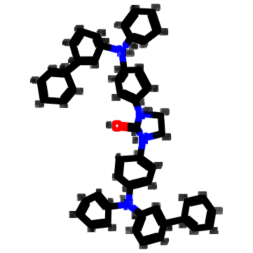 O=C1N(c2ccc(N(c3ccccc3)c3cccc(-c4ccccc4)c3)cc2)CCN1c1ccc(N(c2ccccc2)c2cccc(-c3ccccc3)c2)cc1